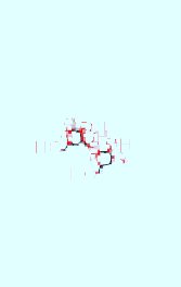 COC1CC(CO)O[C@@H](OCC2(O)CC(CO)O[C@@H](OC)C2O)C1O